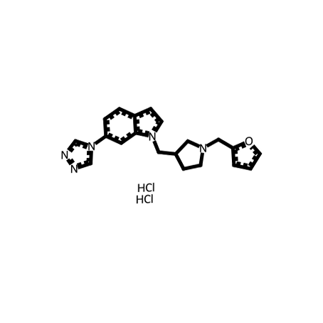 Cl.Cl.c1coc(CN2CCC(Cn3ccc4ccc(-n5cnnc5)cc43)C2)c1